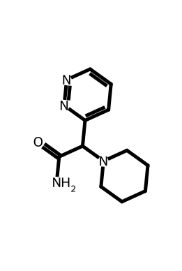 NC(=O)C(c1cccnn1)N1CCCCC1